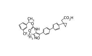 Cc1noc(-c2ccc(-c3ccc(C4(CC(=O)O)CC4)cc3)cc2)c1NC(=O)O[C@H](C)c1cccc(C(F)(F)F)c1